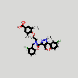 Cc1cc(C(=O)O)cc(C)c1OCCN(Cc1ccccc1F)C(=O)c1nn(C)c2c1COc1ccc(Cl)cc1-2